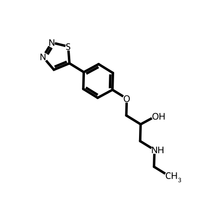 CCNCC(O)COc1ccc(-c2cnns2)cc1